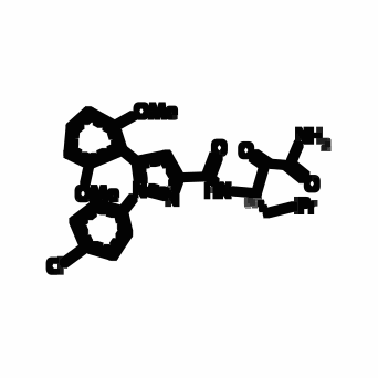 COc1cccc(OC)c1-c1cc(C(=O)N[C@@H](CC(C)C)C(=O)C(N)=O)nn1-c1ccc(Cl)cc1